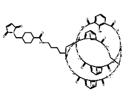 O=C1NCCN2CCNC(=O)c3cccc(c3O)C(=O)NCCN(CCNC(=O)c3cccc1c3O)CC(CCCCNC(=O)C1CCC(CN3C(=O)C=CC3=O)CC1)N1CCNC(=O)c3cccc(c3O)C(=O)NCCN(CCNC(=O)c3cccc(c3O)C(=O)NCC1)CC2